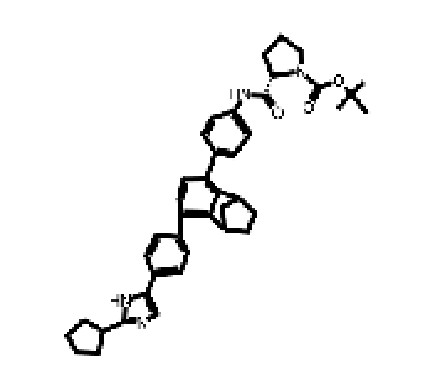 CC(C)(C)OC(=O)N1CCC[C@H]1C(=O)Nc1ccc(-c2ccc(-c3ccc(-c4cnc(C5CCCC5)[nH]4)cc3)c3c2C2CCC3C2)cc1